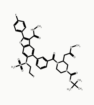 CNC(=O)c1c(-c2ccc(F)cc2)oc2cc(N(CCF)S(C)(=O)=O)c(-c3cccc(C(=O)N4CCN(C(=O)OC(C)(C)C)CC4CC(=O)OC)c3)cc12